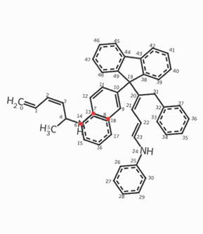 C=C/C=C\C(C)N/C=C/C=C(\C=C/c1ccccc1)C1(/C(=C/C=C/Nc2ccccc2)Cc2ccccc2)c2ccccc2-c2ccccc21